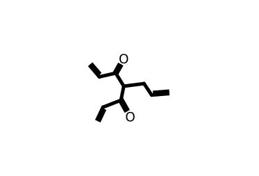 C=CCC(C(=O)C=C)C(=O)C=C